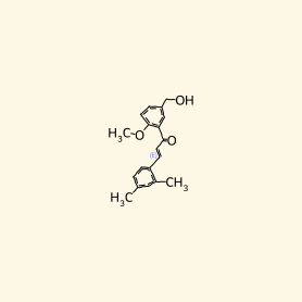 COc1ccc(CO)cc1C(=O)/C=C/c1ccc(C)cc1C